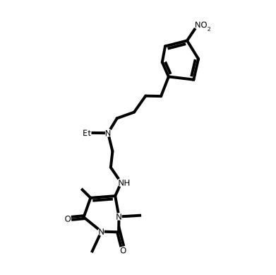 CCN(CCCCc1ccc([N+](=O)[O-])cc1)CCNc1c(C)c(=O)n(C)c(=O)n1C